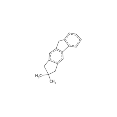 CC1(C)Cc2cc3c(cc2C1)-c1ccccc1C3